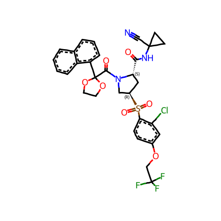 N#CC1(NC(=O)[C@@H]2C[C@@H](S(=O)(=O)c3ccc(OCC(F)(F)F)cc3Cl)CN2C(=O)C2(c3cccc4ccccc34)OCCO2)CC1